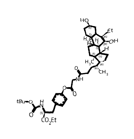 CCOC(=O)[C@H](Cc1ccc(OC(=O)CNC(=O)CC[C@@H](C)[C@H]2CC[C@H]3[C@@H]4[C@H](O)[C@H](CC)C5C[C@H](O)CC[C@]5(C)[C@H]4CC[C@]23C)cc1)NC(=O)OC(C)(C)C